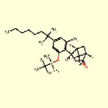 CCCCCCC(C)(C)c1cc(C)c([C@H]2CC(=O)[C@H]3C[C@@H]2C3(C)C)c(O[Si](C)(C)C(C)(C)C)c1